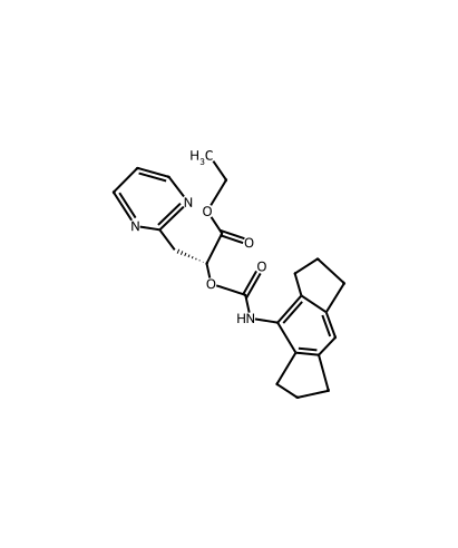 CCOC(=O)[C@@H](Cc1ncccn1)OC(=O)Nc1c2c(cc3c1CCC3)CCC2